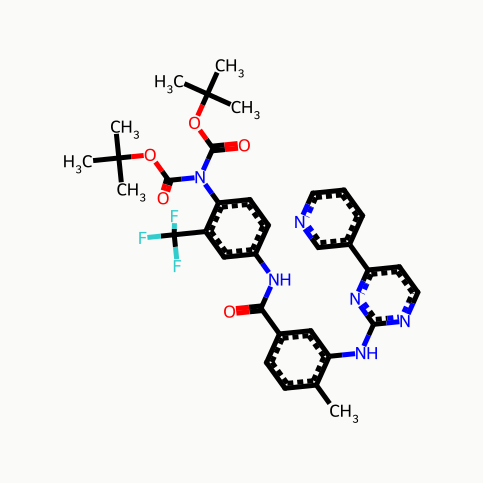 Cc1ccc(C(=O)Nc2ccc(N(C(=O)OC(C)(C)C)C(=O)OC(C)(C)C)c(C(F)(F)F)c2)cc1Nc1nccc(-c2cccnc2)n1